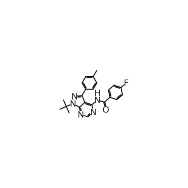 Cc1ccc(-c2nn(C(C)(C)C)c3ncnc(NC(=O)c4ccc(F)cc4)c23)cc1